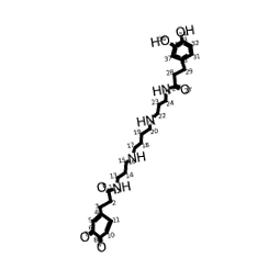 O=C(CCC1=CC(=O)C(=O)C=C1)NCCCNCCCCNCCCNC(=O)CCc1ccc(O)c(O)c1